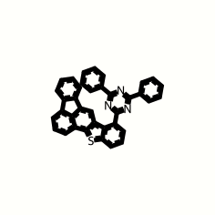 c1ccc(-c2nc(-c3ccccc3)nc(-c3cccc4sc5c6cccc7c6c(cc5c34)-c3ccccc3-7)n2)cc1